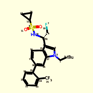 CC(C)(C)Cn1cc([C@@H](CF)NS(=O)(=O)C2CC2)c2ccc(-c3ccccc3C(F)(F)F)cc21